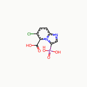 O=C(O)c1c(Cl)ccc2ncc(P(=O)(O)O)n12